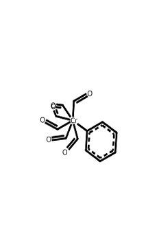 O=[CH][Cr]([CH]=O)([CH]=O)([CH]=O)([CH]=O)([CH]=O)[c]1ccccc1